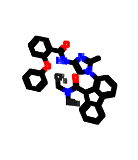 CCCCN(CC(F)(F)F)C(=O)C1c2ccccc2-c2cccc(-n3cc(NC(=O)c4ccccc4Oc4ccccc4)nc3C)c21